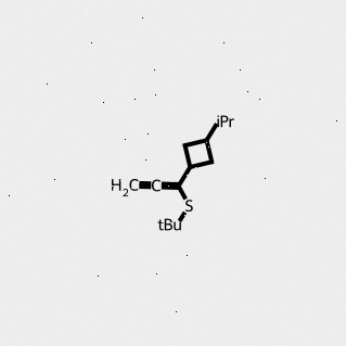 C=C=C(SC(C)(C)C)C1CC(C(C)C)C1